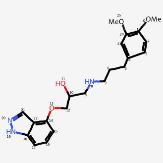 COc1ccc(CCCNCC(O)COc2cccc3[nH]ncc23)cc1OC